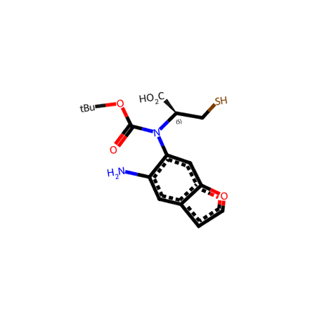 CC(C)(C)OC(=O)N(c1cc2occc2cc1N)[C@H](CS)C(=O)O